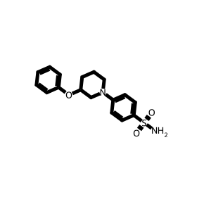 NS(=O)(=O)c1ccc(N2CCCC(Oc3ccccc3)C2)cc1